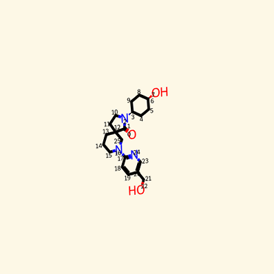 O=C1N([C@H]2CC[C@H](O)CC2)CCC12CCCN(c1ccc(CO)cn1)C2